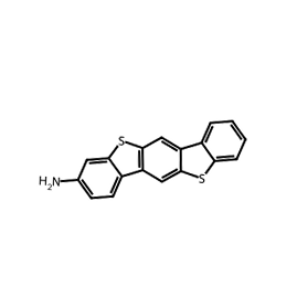 Nc1ccc2c(c1)sc1cc3c(cc12)sc1ccccc13